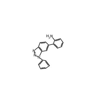 Nc1ccccc1-c1ccc2nnn(-c3ccccc3)c2c1